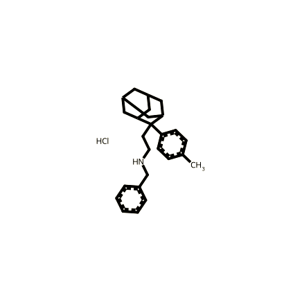 Cc1ccc(C2(CCNCc3ccccc3)C3CC4CC(C3)CC2C4)cc1.Cl